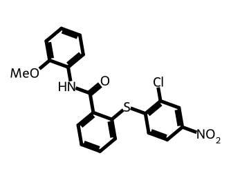 COc1ccccc1NC(=O)c1ccccc1Sc1ccc([N+](=O)[O-])cc1Cl